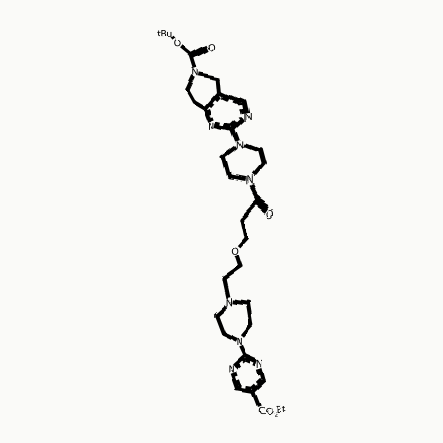 CCOC(=O)c1cnc(N2CCN(CCOCCC(=O)N3CCN(c4ncc5c(n4)CCN(C(=O)OC(C)(C)C)C5)CC3)CC2)nc1